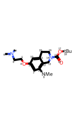 CNc1cc(OCCN(C)C)cc2c1CN(C(=O)OC(C)(C)C)CC2